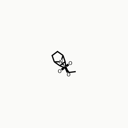 CCS(=O)(=O)N1C2CCC1C1C(=O)C12